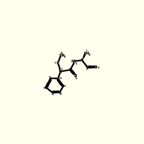 CON(C(=O)N[C@@H](C)[C]=O)c1ccccc1